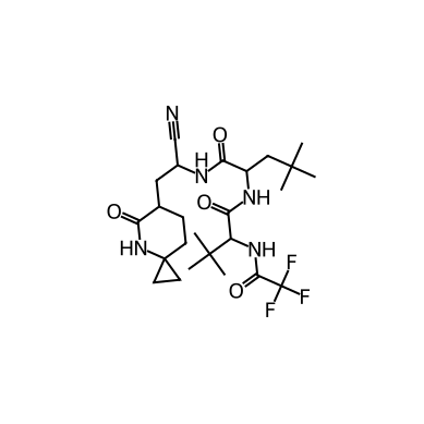 CC(C)(C)CC(NC(=O)C(NC(=O)C(F)(F)F)C(C)(C)C)C(=O)NC(C#N)CC1CCC2(CC2)NC1=O